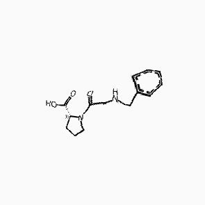 O=C(O)[C@H]1CCCN1C(=O)CNCc1ccccc1